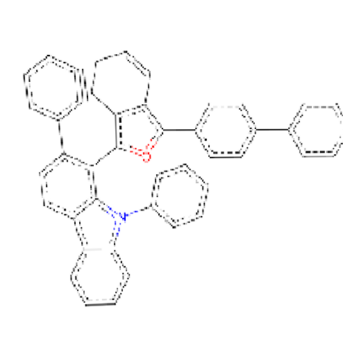 c1cccc(-c2ccc3c4ccccc4n(-c4ccccc4)c3c2-c2oc(-c3ccc(-c4ccccc4)cc3)c3c2CCC=C3)c#1